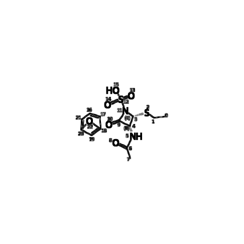 CCS[C@@H]1[C@H](NC(C)=O)C(=O)N1S(=O)(=O)O.c1cc2cc(c1)O2